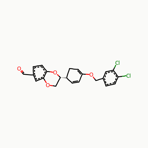 O=Cc1ccc2c(c1)OC[C@@H](C1C=CC(OCc3ccc(Cl)c(Cl)c3)=CC1)O2